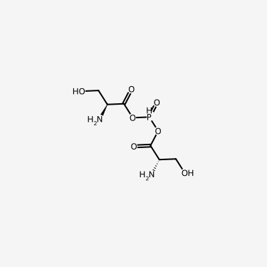 N[C@@H](CO)C(=O)O[PH](=O)OC(=O)[C@@H](N)CO